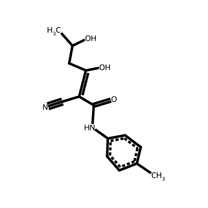 Cc1ccc(NC(=O)/C(C#N)=C(\O)CC(C)O)cc1